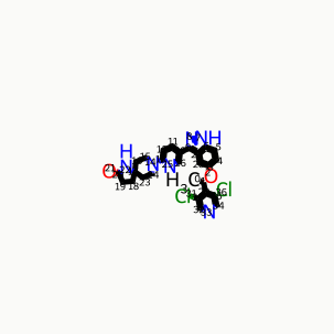 CC(Oc1ccc2[nH]nc(-c3ccc(N4CCC5(CCC(=O)N5)CC4)nc3)c2c1)c1c(Cl)cncc1Cl